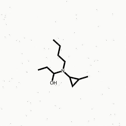 CCCCN(C(O)CC)C1CC1C